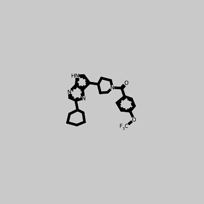 O=C(c1ccc(OC(F)(F)F)cc1)N1CCC(c2c[nH]c3ncc(C4CCCCC4)nc23)CC1